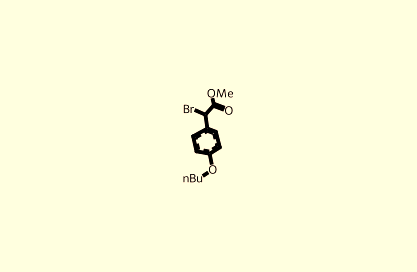 CCCCOc1ccc(C(Br)C(=O)OC)cc1